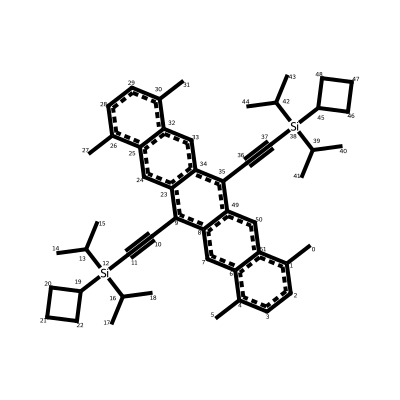 Cc1ccc(C)c2cc3c(C#C[Si](C(C)C)(C(C)C)C4CCC4)c4cc5c(C)ccc(C)c5cc4c(C#C[Si](C(C)C)(C(C)C)C4CCC4)c3cc12